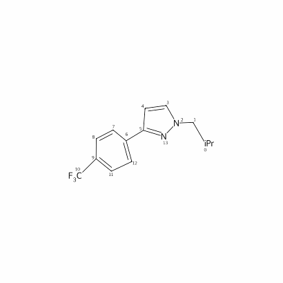 CC(C)Cn1ccc(-c2ccc(C(F)(F)F)cc2)n1